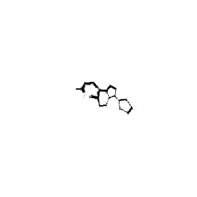 O=C(O)c1ccc2c(n1)CCC1C2=C=CC1C1CCCC1